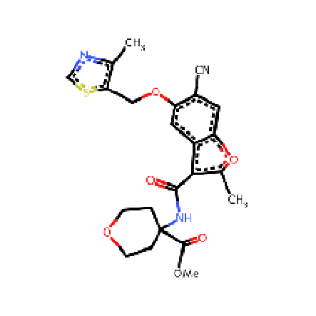 COC(=O)C1(NC(=O)c2c(C)oc3cc(C#N)c(OCc4scnc4C)cc23)CCOCC1